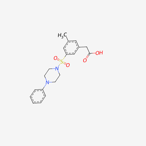 Cc1cc(CC(=O)O)cc(S(=O)(=O)N2CCN(c3ccccc3)CC2)c1